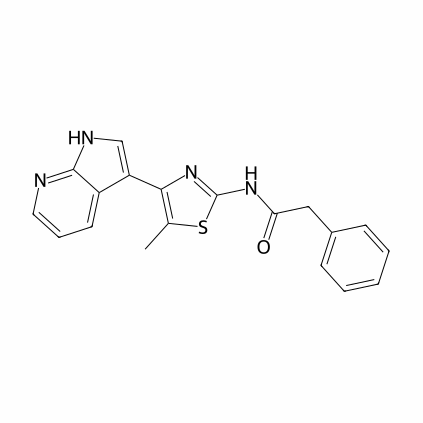 Cc1sc(NC(=O)Cc2ccccc2)nc1-c1c[nH]c2ncccc12